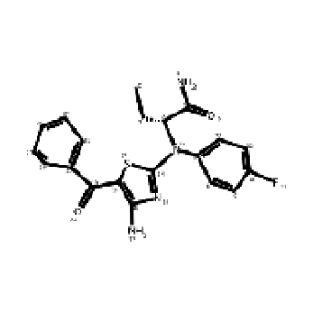 CC[C@H](C(N)=O)N(c1ccc(F)cc1)c1nc(N)c(C(=O)c2ccccc2)s1